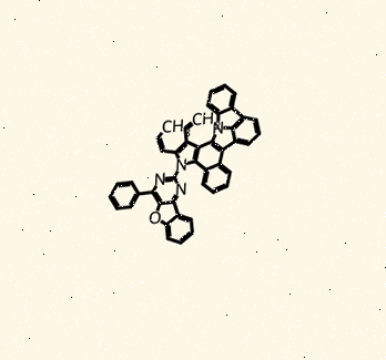 C=Cc1c(/C=C\C)n(-c2nc(-c3ccccc3)c3oc4ccccc4c3n2)c2c3ccccc3c3c4cccc5c6ccccc6n(c54)c3c12